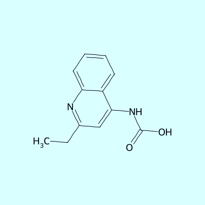 CCc1cc(NC(=O)O)c2ccccc2n1